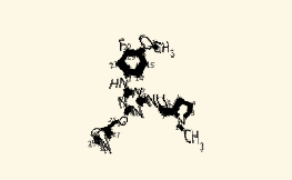 CCN1CCCC1CNc1nc(Nc2ccc(OC)c(F)c2)nc(OCc2cnco2)n1